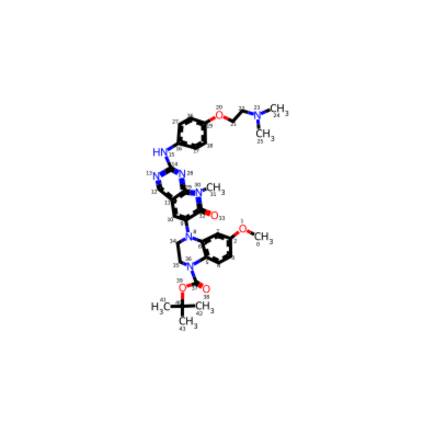 COc1ccc2c(c1)N(c1cc3cnc(Nc4ccc(OCCN(C)C)cc4)nc3n(C)c1=O)CCN2C(=O)OC(C)(C)C